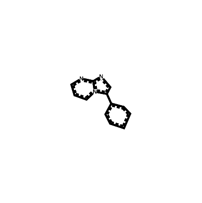 c1ccc(-c2cnc3ncccn23)cc1